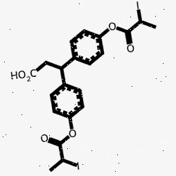 CC(I)C(=O)Oc1ccc(C(CC(=O)O)c2ccc(OC(=O)C(C)I)cc2)cc1